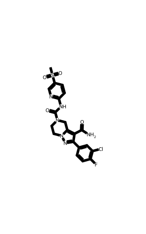 CS(=O)(=O)c1ccc(NC(=O)N2CCn3nc(-c4ccc(F)c(Cl)c4)c(C(N)=O)c3C2)nc1